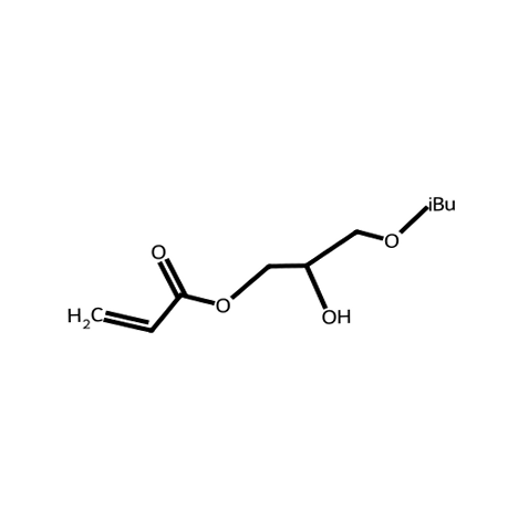 C=CC(=O)OCC(O)COC(C)CC